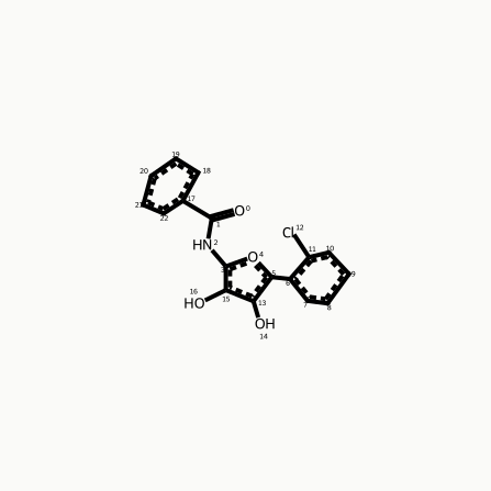 O=C(Nc1oc(-c2ccccc2Cl)c(O)c1O)c1ccccc1